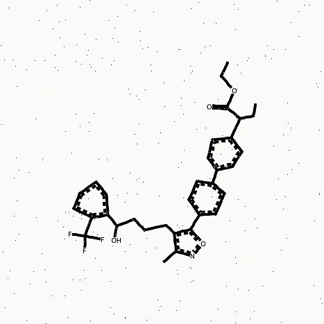 CCOC(=O)C(CC)c1ccc(-c2ccc(-c3onc(C)c3CCCC(O)c3ccccc3C(F)(F)F)cc2)cc1